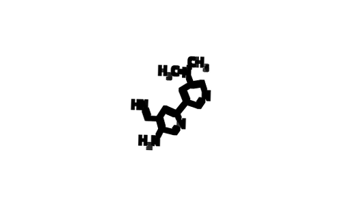 CN(C)c1cncc(-c2cc(C=N)c(N)cn2)c1